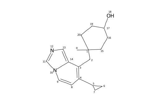 CC1(Cc2c(C3CC3)ccn3cncc23)CCC(O)CC1